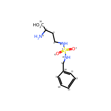 NC(CCNS(=O)(=O)NCc1ccccc1)C(=O)O